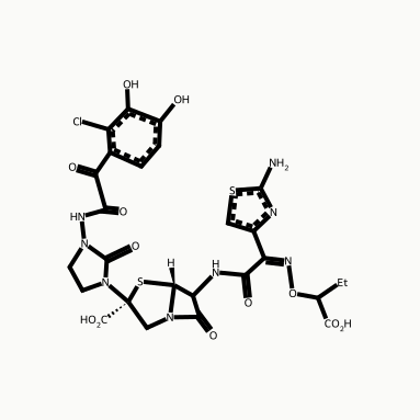 CCC(O/N=C(\C(=O)NC1C(=O)N2C[C@@](C(=O)O)(N3CCN(NC(=O)C(=O)c4ccc(O)c(O)c4Cl)C3=O)S[C@H]12)c1csc(N)n1)C(=O)O